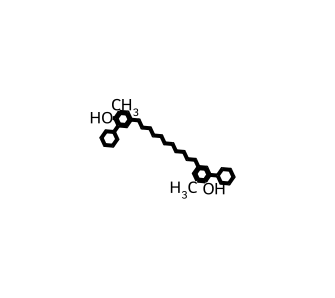 Cc1cc(CCCCCCCCCCCc2cc(C)c(O)c(C3CCCCC3)c2)cc(C2CCCCC2)c1O